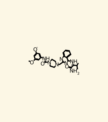 COc1cc(NC(=O)N2CCN(Cc3nc(N[C@H](C(N)=O)C(C)C)c4ccccc4n3)CC2)cc(OC)c1